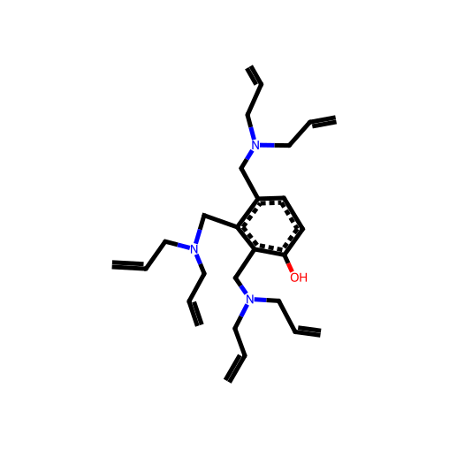 C=CCN(CC=C)Cc1ccc(O)c(CN(CC=C)CC=C)c1CN(CC=C)CC=C